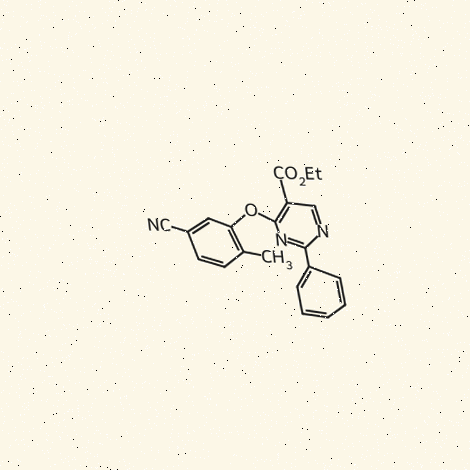 CCOC(=O)c1cnc(-c2ccccc2)nc1Oc1cc(C#N)ccc1C